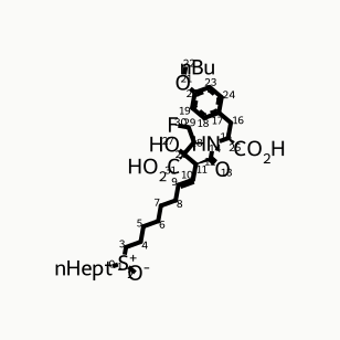 CCCCCCC[S+]([O-])CCCCCC/C=C/[C@H](C(=O)N[C@@H](Cc1ccc(OCCCC)cc1)C(=O)O)[C@@](O)(CCF)C(=O)O